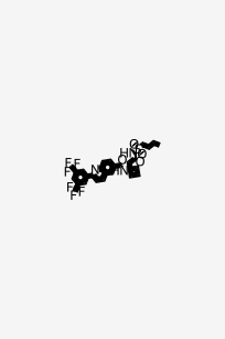 CCCCS(=O)(=O)NC(=O)CC1(NC(=O)c2ccc3nc(-c4cc(C(F)(F)F)cc(C(F)(F)F)c4)ccc3c2)CCC1